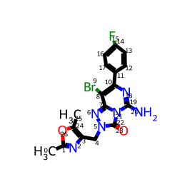 Cc1nc(Cn2nc3c(Br)c(-c4ccc(F)cc4)nc(N)n3c2=O)c(C)o1